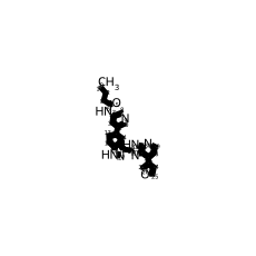 CCCCC(=O)Nc1cncc(-c2ccc3[nH]nc(-c4nc5c(-c6ccoc6)ccnc5[nH]4)c3c2)c1